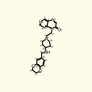 O=c1cnc2cncnc2n1CCN1CCC(NCc2ccc3c(c2)OCCO3)CC1